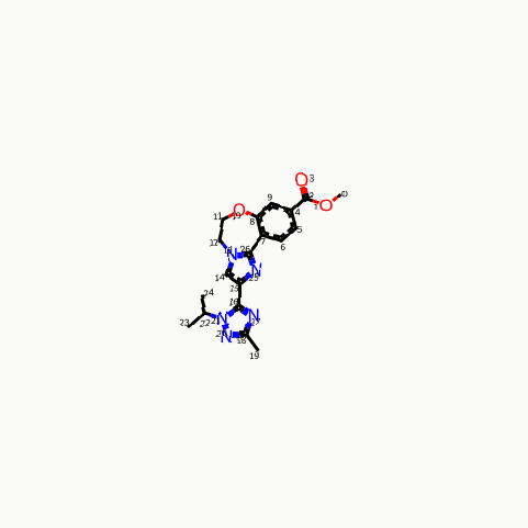 COC(=O)c1ccc2c(c1)OCCn1cc(-c3nc(C)nn3C(C)C)nc1-2